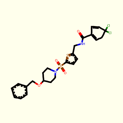 O=C(NCc1ccc(S(=O)(=O)N2CCC(OCc3ccccc3)CC2)s1)C1=CCC(Cl)(Cl)C=C1